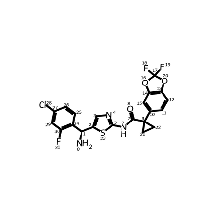 N[C@H](c1cnc(NC(=O)C2(c3ccc4c(c3)OC(F)(F)O4)CC2)s1)c1ccc(Cl)cc1F